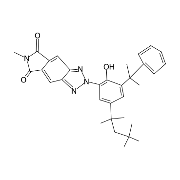 CN1C(=O)c2cc3nn(-c4cc(C(C)(C)CC(C)(C)C)cc(C(C)(C)c5ccccc5)c4O)nc3cc2C1=O